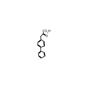 O=C(O)C(=O)Cc1ccc(-c2ccccc2)cc1